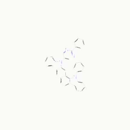 c1ccc(-c2ncc(-n3c4ccccc4c4cc5ccc6c7ccccc7n(-c7ccccc7)c6c5cc43)cn2)cc1